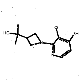 CC(C)(O)C1CN(c2nccc(S)c2Cl)C1